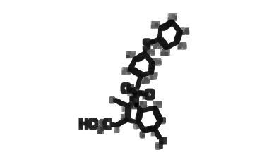 Cc1c(CC(=O)O)c2cc(F)ccc2n1S(=O)(=O)c1ccc(Sc2ccccc2)cc1